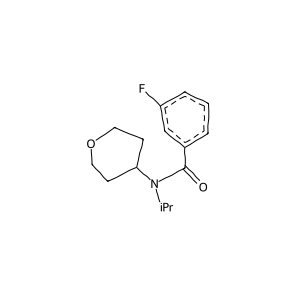 CC(C)N(C(=O)c1cccc(F)c1)C1CCOCC1